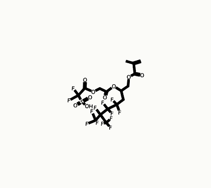 C=C(C)C(=O)OCC(CC(F)(F)C(F)(F)C(F)(C(F)(F)F)C(F)(F)F)OC(=O)COC(=O)C(F)(F)S(=O)(=O)O